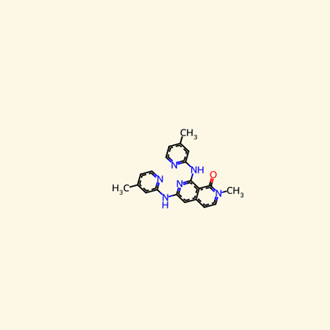 Cc1ccnc(Nc2cc3ccn(C)c(=O)c3c(Nc3cc(C)ccn3)n2)c1